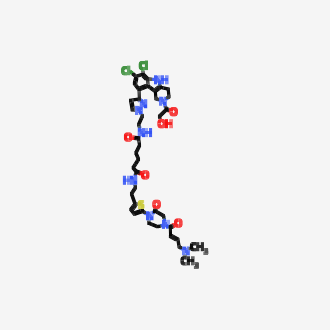 CN(C)C/C=C/C(=O)N1CCN(c2ccc(CCNC(=O)CCCCC(=O)NCCn3ccc(-c4cc(Cl)c(Cl)c5[nH]c6c(c45)CN(C(=O)CO)CC6)n3)s2)C(=O)C1